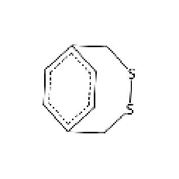 c1cc2ccc1CSSC2